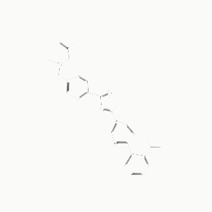 Cc1cc(-c2nc(-c3ccc(CN(C)CC(=O)O)cc3)no2)ccc1-c1ccccc1C(F)F